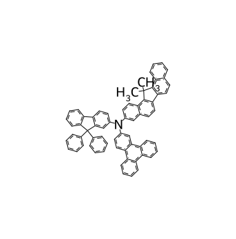 CC1(C)c2c(ccc3ccccc23)-c2ccc3cc(N(c4ccc5c(c4)C(c4ccccc4)(c4ccccc4)c4ccccc4-5)c4ccc5c6ccccc6c6ccccc6c5c4)ccc3c21